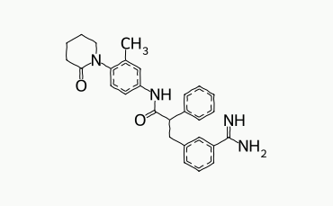 Cc1cc(NC(=O)C(Cc2cccc(C(=N)N)c2)c2ccccc2)ccc1N1CCCCC1=O